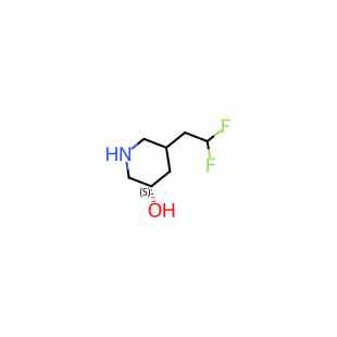 O[C@@H]1CNCC(CC(F)F)C1